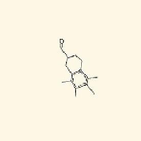 Cc1c(C)c(C)c2c(c1C)CCC(C=O)C2